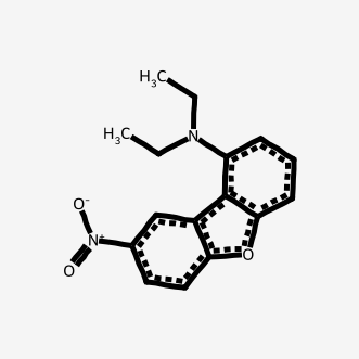 CCN(CC)c1cccc2oc3ccc([N+](=O)[O-])cc3c12